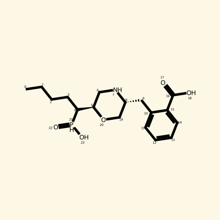 CCCCC([C@H]1CN[C@H](Cc2ccccc2C(=O)O)CO1)[PH](=O)O